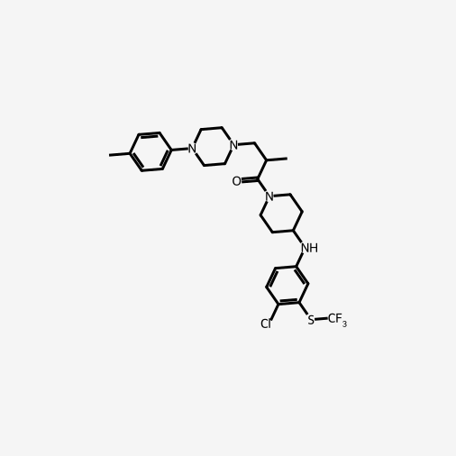 Cc1ccc(N2CCN(CC(C)C(=O)N3CCC(Nc4ccc(Cl)c(SC(F)(F)F)c4)CC3)CC2)cc1